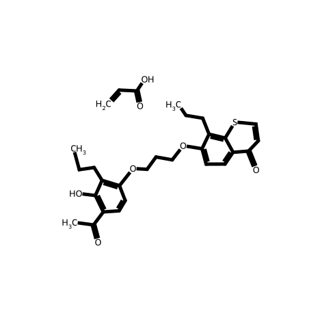 C=CC(=O)O.CCCc1c(OCCCOc2ccc3c(=O)ccsc3c2CCC)ccc(C(C)=O)c1O